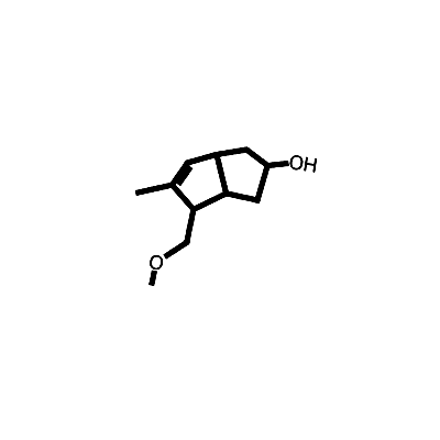 COCC1C(C)=CC2CC(O)CC21